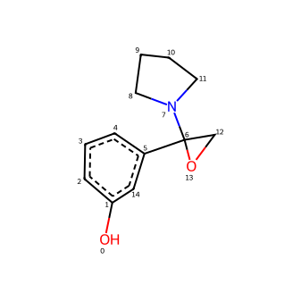 Oc1cccc(C2(N3CCCC3)CO2)c1